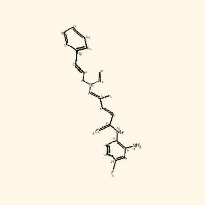 C=NN(/C=C(C)/C=C/C(=O)Nc1ccc(F)cc1N)C/C=C/c1ccccc1